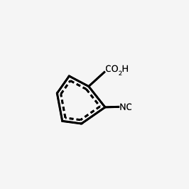 [C-]#[N+]c1ccccc1C(=O)O